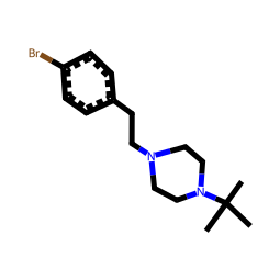 CC(C)(C)N1CCN(CCc2ccc(Br)cc2)CC1